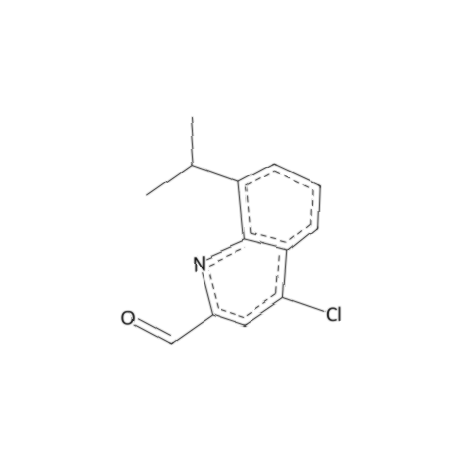 CC(C)c1cccc2c(Cl)cc(C=O)nc12